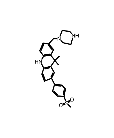 CC1(C)c2cc(CN3CCNCC3)ccc2Nc2ccc(-c3ccc(S(C)(=O)=O)cc3)cc21